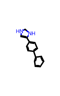 C1=C(c2ccc(-c3ccccc3)cc2)NCN1